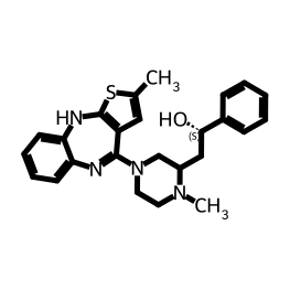 Cc1cc2c(s1)Nc1ccccc1N=C2N1CCN(C)C(C[C@H](O)c2ccccc2)C1